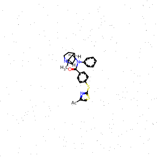 CC(=O)c1csc(Sc2ccc(C(=O)N(c3ccccc3)[C@@H]3C4CCN(CC4)[C@H]3C)cc2)n1